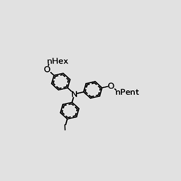 CCCCCCOc1ccc(N(c2ccc(I)cc2)c2ccc(OCCCCC)cc2)cc1